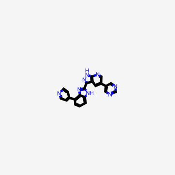 c1cc(-c2ccncc2)c2nc(-c3n[nH]c4ncc(-c5cncnc5)cc34)[nH]c2c1